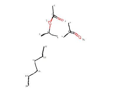 CC(=O)OC(C)C.CC(C)=O.CCCCCC